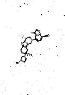 C[C@@H]1CN(c2ccc(C#N)n3ncc(F)c23)Cc2c3c(nn21)CC[C@@](C)(N1CCC(O)C1)C3